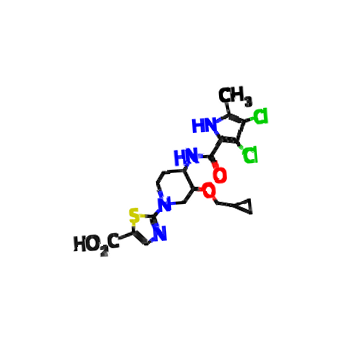 Cc1[nH]c(C(=O)NC2CCN(c3ncc(C(=O)O)s3)CC2OCC2CC2)c(Cl)c1Cl